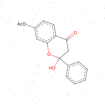 CC(=O)Oc1ccc2c(c1)OC(O)(c1ccccc1)CC2=O